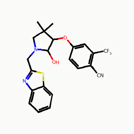 CC1(C)CN(Cc2nc3ccccc3s2)C(O)C1Oc1ccc(C#N)c(C(F)(F)F)c1